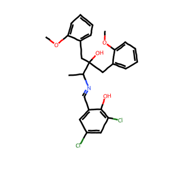 COc1ccccc1CC(O)(Cc1ccccc1OC)C(C)N=Cc1cc(Cl)cc(Cl)c1O